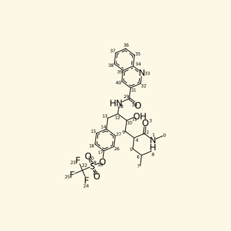 CNC(=O)C(CC(C)C)CC(O)C(Cc1ccc(OS(=O)(=O)C(F)(F)F)cc1)NC(=O)c1cnc2ccccc2c1